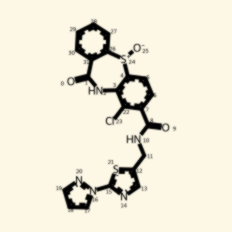 O=C1Nc2c(ccc(C(=O)NCc3cnc(-n4cccn4)s3)c2Cl)[S+]([O-])c2ccccc21